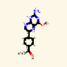 CCOc1nc(N)nc2ncc(-c3ccc(C(=O)OC)cc3)nc12